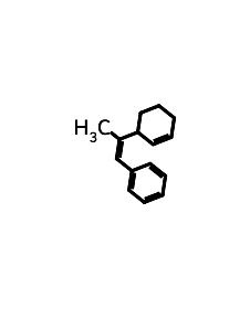 CC(=Cc1ccccc1)C1C=CCCC1